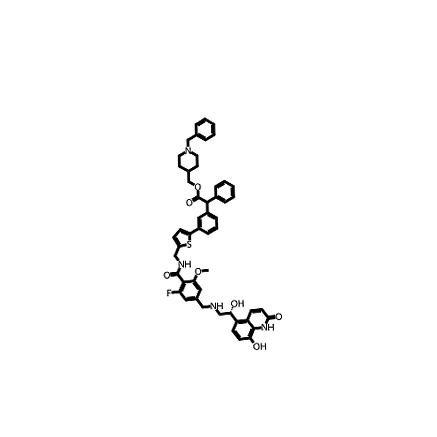 COc1cc(CNC[C@H](O)c2ccc(O)c3[nH]c(=O)ccc23)cc(F)c1C(=O)NCc1ccc(-c2cccc(C(C(=O)OCC3CCN(Cc4ccccc4)CC3)c3ccccc3)c2)s1